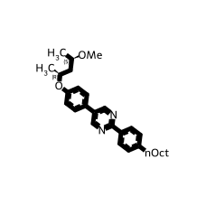 CCCCCCCCc1ccc(-c2ncc(-c3ccc(O[C@H](C)C[C@H](C)OC)cc3)cn2)cc1